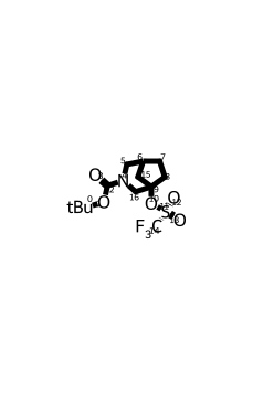 CC(C)(C)OC(=O)N1CC2CCC(OS(=O)(=O)C(F)(F)F)(C2)C1